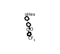 CCCCCC[C@H]1CC[C@H](C2CCC(C(=O)Oc3ccc(C(F)(F)F)cc3)CC2)CC1